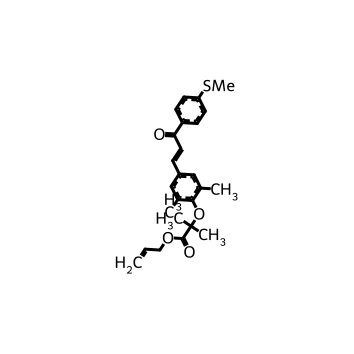 C=CCOC(=O)C(C)(C)Oc1c(C)cc(/C=C/C(=O)c2ccc(SC)cc2)cc1C